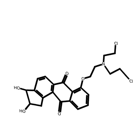 O=C1c2ccc3c(c2C(=O)c2cccc(OCCN(CCCl)CCCl)c21)CC(O)C3O